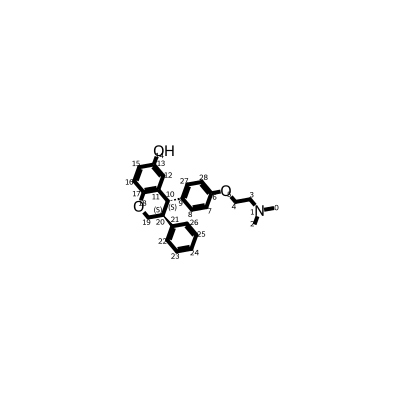 CN(C)CCOc1ccc([C@H]2c3cc(O)ccc3OC[C@@H]2c2ccccc2)cc1